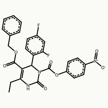 CCC1=C(C(=O)OCc2ccccc2)C(c2ccc(F)cc2F)N(C(=O)Oc2ccc([N+](=O)[O-])cc2)C(=O)N1